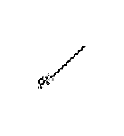 CCCCCCCCC=CCCCCCCCC(=O)NS(=O)(=O)c1cc(O)ccc1C